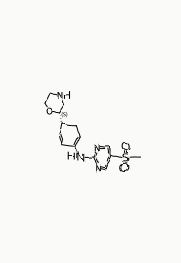 CS(=O)(=O)c1cnc(NC2=CCC([C@H]3CNCCO3)C=C2)nc1